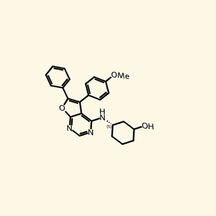 COc1ccc(-c2c(-c3ccccc3)oc3ncnc(N[C@H]4CCCC(O)C4)c23)cc1